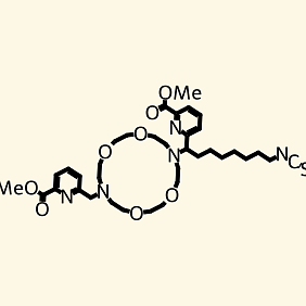 COC(=O)c1cccc(CN2CCOCCOCCN(C(CCCCCCCN=C=S)c3cccc(C(=O)OC)n3)CCOCCOCC2)n1